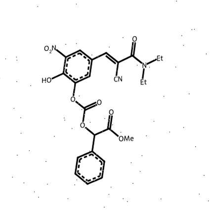 CCN(CC)C(=O)/C(C#N)=C/c1cc(OC(=O)OC(C(=O)OC)c2ccccc2)c(O)c([N+](=O)[O-])c1